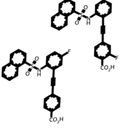 O=C(O)c1ccc(C#Cc2cc(F)ccc2NS(=O)(=O)c2cccc3ccccc23)cc1.O=C(O)c1ccc(C#Cc2ccccc2NS(=O)(=O)c2cccc3ccccc23)cc1F